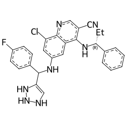 CC[C@@H](Nc1c(C#N)cnc2c(Cl)cc(NC(C3=CNNN3)c3ccc(F)cc3)cc12)c1ccccc1